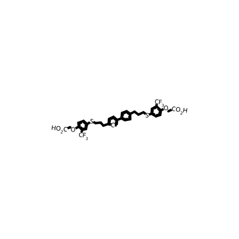 O=C(O)COc1ccc(SCCCc2ccc(-c3ccc(CCCSc4ccc(OCC(=O)O)c(C(F)(F)F)c4)cc3)cc2)cc1C(F)(F)F